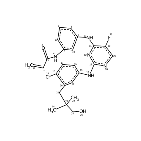 C=CC(=O)Nc1cccc(Nc2nc(Nc3ccc(Cl)c(CC(C)(C)CO)c3)ncc2F)c1